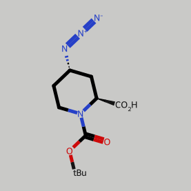 CC(C)(C)OC(=O)N1CC[C@H](N=[N+]=[N-])C[C@H]1C(=O)O